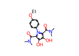 CCOc1ccc(-n2c(C(=O)N(C)C)c(O)c(O)c2C(=O)N(C)C)cc1